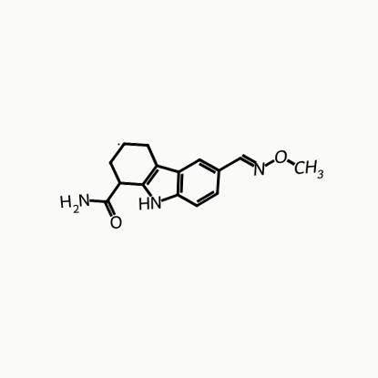 CON=Cc1ccc2[nH]c3c(c2c1)C[CH]CC3C(N)=O